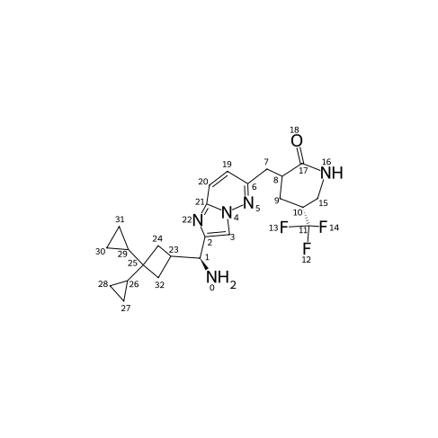 N[C@H](c1cn2nc(CC3C[C@@H](C(F)(F)F)CNC3=O)ccc2n1)C1CC(C2CC2)(C2CC2)C1